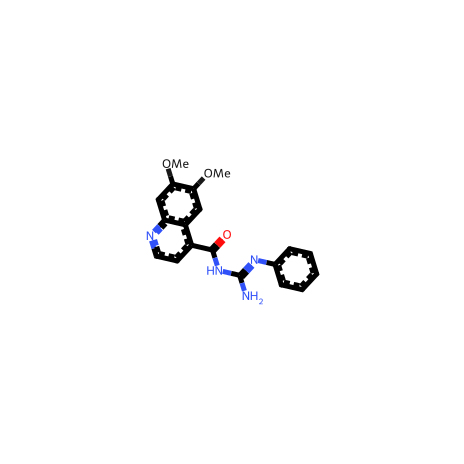 COc1cc2nccc(C(=O)NC(N)=Nc3ccccc3)c2cc1OC